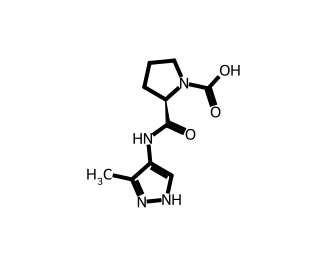 Cc1n[nH]cc1NC(=O)[C@H]1CCCN1C(=O)O